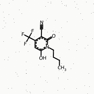 CCCCn1c(O)cc(C(F)(F)F)c(C#N)c1=O